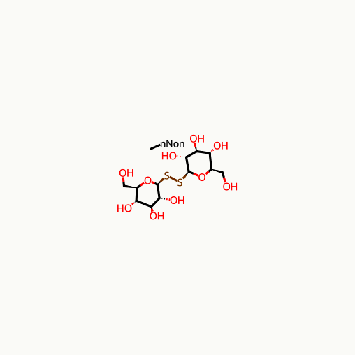 CCCCCCCCCC.OC[C@H]1O[C@@H](SS[C@@H]2O[C@H](CO)[C@@H](O)[C@H](O)[C@H]2O)[C@H](O)[C@@H](O)[C@@H]1O